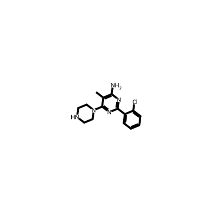 Cc1c(N)nc(-c2ccccc2Cl)nc1N1CCNCC1